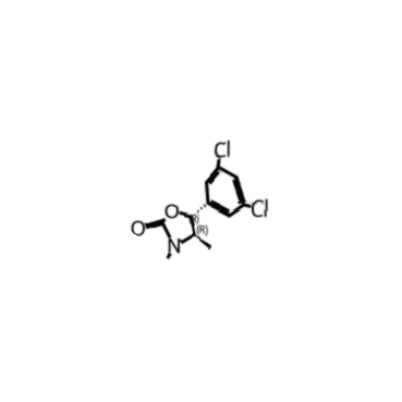 C[C@@H]1[C@@H](c2cc(Cl)cc(Cl)c2)OC(=O)N1C